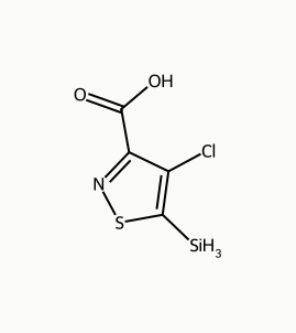 O=C(O)c1nsc([SiH3])c1Cl